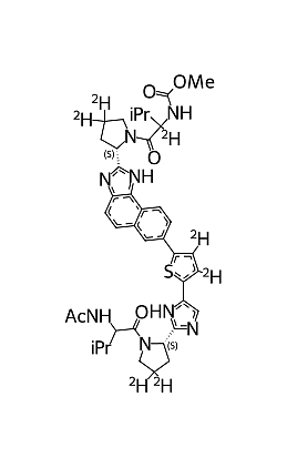 [2H]c1c(-c2ccc3c(ccc4nc([C@@H]5CC([2H])([2H])CN5C(=O)C([2H])(NC(=O)OC)C(C)C)[nH]c43)c2)sc(-c2cnc([C@@H]3CC([2H])([2H])CN3C(=O)C(NC(C)=O)C(C)C)[nH]2)c1[2H]